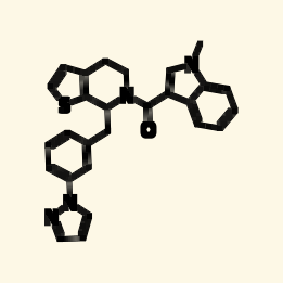 Cn1cc(C(=O)N2CCc3ccsc3C2Cc2cccc(-n3cccn3)c2)c2ccccc21